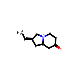 CC=C1CC2CC(=O)CCN2C1